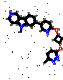 Cc1ccc(O[C@H]2C[C@H](Oc3ccc(-c4ccc5c6cnccc6n(C)c5c4)cn3)C2)nn1